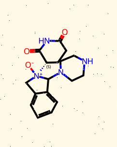 O=C1CC[C@H]([N+]2([O-])Cc3ccccc3C2N2CCNCC2)C(=O)N1